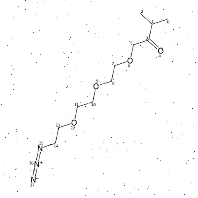 CC(C)C(=O)COCCOCCOCCN=[N+]=[N-]